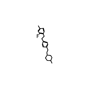 Cc1ccc(CCc2ccc(CCC3CCC(C)CC3)cc2)c(F)c1